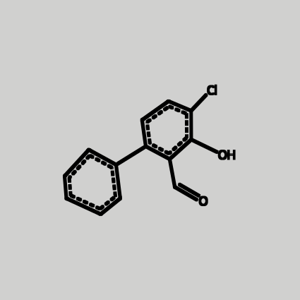 O=Cc1c(-c2ccccc2)ccc(Cl)c1O